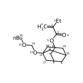 C=C(CC)C(=O)OC12CC3CC(CC(OCOCCCC)(C3)C1)C2